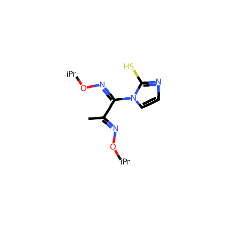 CC(=NOC(C)C)C(=NOC(C)C)n1ccnc1S